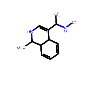 CCNC(C1=CNC(OC)C2C=CC=CC12)C(F)(F)F